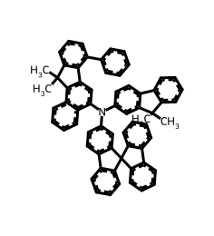 CC1(C)c2ccccc2-c2ccc(N(c3ccc4c(c3)C3(c5ccccc5-c5ccccc53)c3ccccc3-4)c3cc4c(c5ccccc35)C(C)(C)c3cccc(-c5ccccc5)c3-4)cc21